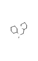 CN(CC1CCCCN1)C1CCCCC1